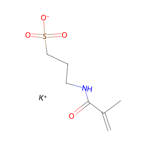 C=C(C)C(=O)NCCCS(=O)(=O)[O-].[K+]